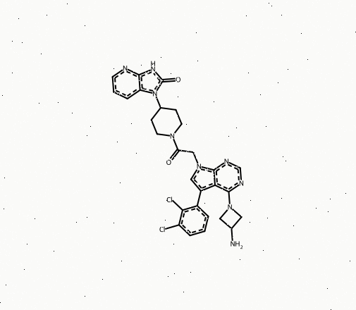 NC1CN(c2ncnc3c2c(-c2cccc(Cl)c2Cl)cn3CC(=O)N2CCC(n3c(=O)[nH]c4ncccc43)CC2)C1